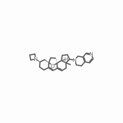 CC12CC=C3C=C4CC[C@@H](N5CCC5)C[C@]45CC[C@]3(O5)[C@@H]1CCC2N1CCc2ccncc2C1